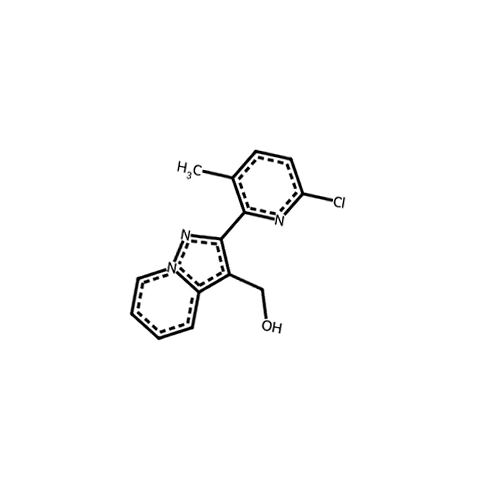 Cc1ccc(Cl)nc1-c1nn2ccccc2c1CO